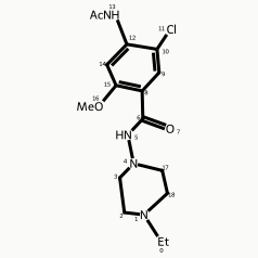 CCN1CCN(NC(=O)c2cc(Cl)c(NC(C)=O)cc2OC)CC1